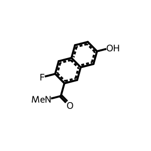 CNC(=O)c1cc2cc(O)ccc2cc1F